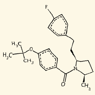 C[C@@H]1CC[C@H](CCc2ccc(F)cc2)N1C(=O)c1ccc(OC(C)(C)C)cc1